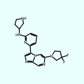 FC1(F)CCN(c2cn3c(-c4cccc(NC5CCNC5)n4)cnc3cn2)C1